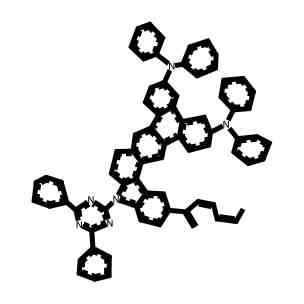 C=C(/C=C\C=C/C)c1ccc2c(c1)c1c3cc4c5ccc(N(c6ccccc6)c6ccccc6)cc5c5cc(N(c6ccccc6)c6ccccc6)ccc5c4cc3ccc1n2-c1nc(-c2ccccc2)nc(-c2ccccc2)n1